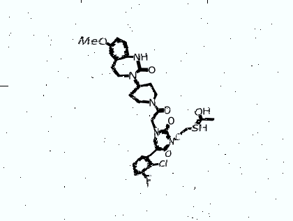 COc1ccc2c(c1)CCN(C1CCN(C(=O)Cn3cc(-c4cccc(F)c4Cl)c(=O)n(CC[SH]=C(C)O)c3=O)CC1)C(=O)N2